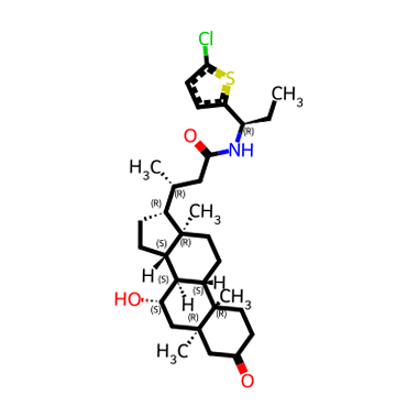 CC[C@@H](NC(=O)C[C@@H](C)[C@H]1CC[C@H]2[C@@H]3[C@@H](O)C[C@]4(C)CC(=O)CC[C@]4(C)[C@H]3CC[C@]12C)c1ccc(Cl)s1